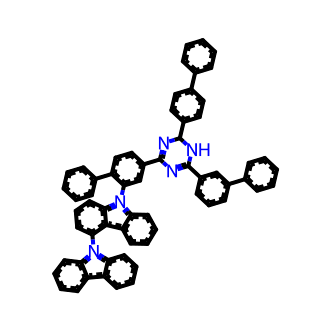 c1ccc(-c2ccc(C3N=C(c4ccc(-c5ccccc5)c(-n5c6ccccc6c6c(-n7c8ccccc8c8ccccc87)cccc65)c4)N=C(c4cccc(-c5ccccc5)c4)N3)cc2)cc1